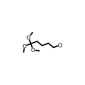 COC(CCCCCl)(OC)OC